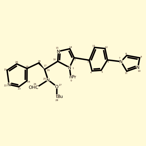 CCCn1c(-c2ccc(-n3ccnc3)cc2)cnc1[C@H](Cc1ccncc1)N(C=O)OC(C)(C)C